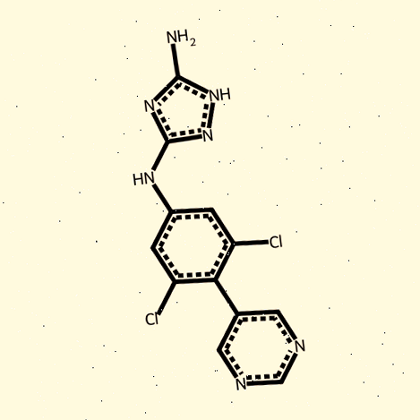 Nc1nc(Nc2cc(Cl)c(-c3cncnc3)c(Cl)c2)n[nH]1